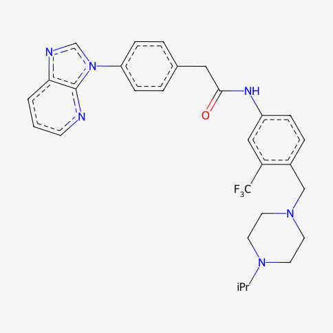 CC(C)N1CCN(Cc2ccc(NC(=O)Cc3ccc(-n4cnc5cccnc54)cc3)cc2C(F)(F)F)CC1